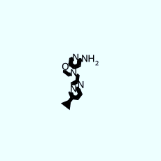 Nc1cc2c(cn1)OCCN2Cc1cn2cc(C3CC3)ccc2n1